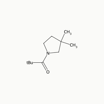 CC1(C)CCN(C(=O)C(C)(C)C)C1